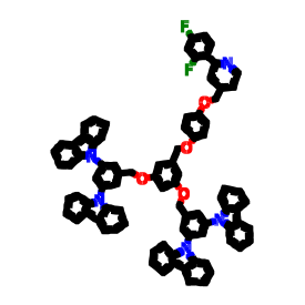 Fc1ccc(-c2cc(COc3ccc(OCc4cc(OCc5cc(-n6c7ccccc7c7ccccc76)cc(-n6c7ccccc7c7ccccc76)c5)cc(OCc5cc(-n6c7ccccc7c7ccccc76)cc(-n6c7ccccc7c7ccccc76)c5)c4)cc3)ccn2)c(F)c1